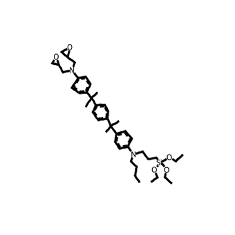 CCCCN(CCC[Si](OCC)(OCC)OCC)c1ccc(C(C)(C)c2ccc(C(C)(C)c3ccc(N(CC4CO4)CC4CO4)cc3)cc2)cc1